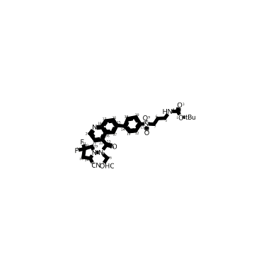 CC(C)(C)OC(=O)NCCCS(=O)(=O)c1ccc(-c2ccc3nccc(C(=O)N(CC=O)N4CC(F)(F)CC4C#N)c3c2)cc1